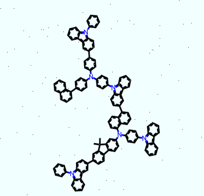 CC1(C)c2cc(-c3ccc4c(c3)c3ccccc3n4-c3ccccc3)ccc2-c2ccc(N(c3ccc(-n4c5ccccc5c5ccccc54)cc3)c3cccc4c(-c5ccc6c(c5)c5ccccc5n6-c5ccc(N(c6ccc(-c7ccc8c(c7)c7ccccc7n8-c7ccccc7)cc6)c6ccc(-c7cccc8ccccc78)cc6)cc5)cccc34)cc21